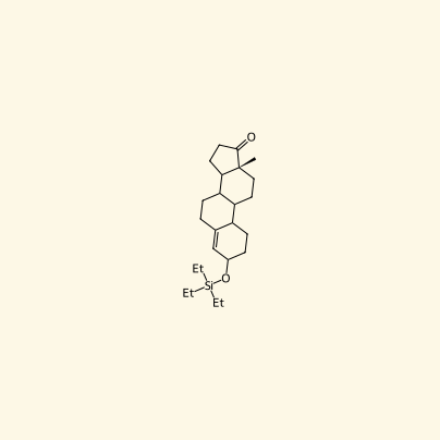 CC[Si](CC)(CC)OC1C=C2CCC3C(CC[C@@]4(C)C(=O)CCC34)C2CC1